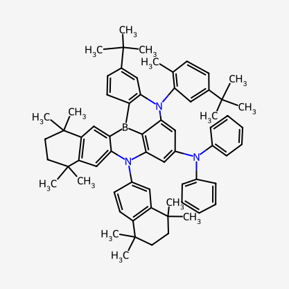 Cc1ccc(C(C)(C)C)cc1N1c2cc(C(C)(C)C)ccc2B2c3cc4c(cc3N(c3ccc5c(c3)C(C)(C)CCC5(C)C)c3cc(N(c5ccccc5)c5ccccc5)cc1c32)C(C)(C)CCC4(C)C